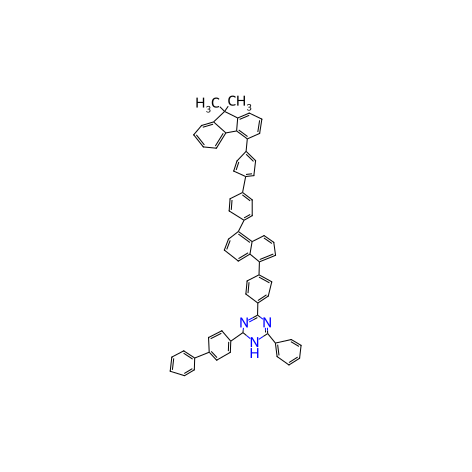 CC1(C)c2ccccc2-c2c(-c3ccc(-c4ccc(-c5cccc6c(-c7ccc(C8=NC(c9ccc(-c%10ccccc%10)cc9)NC(c9ccccc9)=N8)cc7)cccc56)cc4)cc3)cccc21